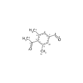 CC(=O)c1c(C)cc(C=O)cc1C